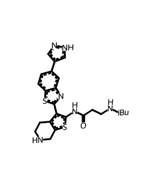 CCC(C)NCCC(=O)Nc1sc2c(c1-c1nc3cc(-c4cn[nH]c4)ccc3s1)CCNC2